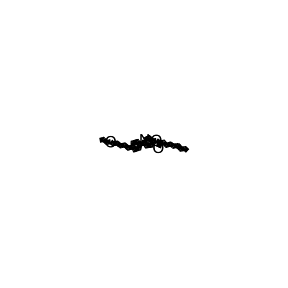 CCC=CCCCCC(=O)Oc1ccc(-c2ccc(CCCCCOCCC)cc2)nc1